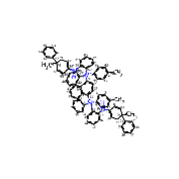 Cc1ccc([N+](c2ccccc2)(c2ccccc2NC2=CCC(C)(c3ccccc3)C=C2)c2ccc([N+](c3ccccc3)(c3ccc(C)cc3)c3ccccc3NC3=CCC(C)(c4ccccc4)C=C3)c3ccccc23)cc1